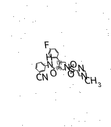 Cn1cnc(S(=O)(=O)N2C[C@H](C(=O)Nc3cccc(C#N)c3)[C@@H](c3ccc(F)cc3)C2)c1